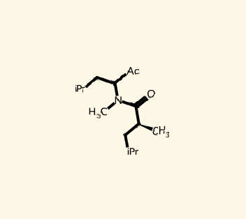 CC(=O)C(CC(C)C)N(C)C(=O)[C@@H](C)CC(C)C